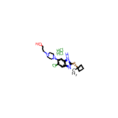 CC1(Sc2nc3cc(Cl)c(N4CCN(CCO)CC4)cc3[nH]2)CCC1.Cl.Cl